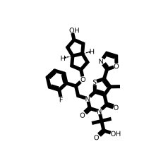 Cc1c(-c2ncco2)sc2c1c(=O)n(C(C)(C)C(=O)O)c(=O)n2CC(OC1C[C@H]2CC(O)C[C@H]2C1)c1ccccc1F